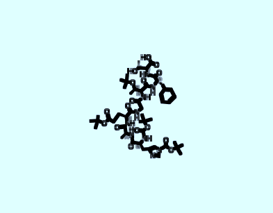 C[C@H](NC(=O)[C@H](Cc1cn(C(=O)OC(C)(C)C)cn1)NC(=O)OC(C)(C)C)C(=O)N[C@@H](CCC(=O)OC(C)(C)C)C(=O)NCC(=O)N[C@H](C(=O)N[C@@H](Cc1ccccc1)C(=O)N[C@H](C(=O)O)[C@@H](C)O)[C@@H](C)OC(C)(C)C